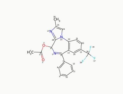 CC(=O)OC1N=C(c2ccccc2)c2cc(C(F)(F)F)ccc2-n2cc(C)nc21